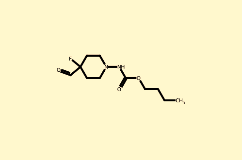 CCCCOC(=O)NN1CCC(F)(C=O)CC1